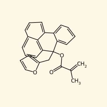 C=C(C)C(=O)OC1(Cc2ccco2)c2ccccc2-c2cccc3cccc1c23